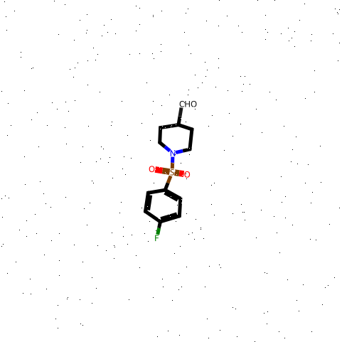 O=CC1CCN(S(=O)(=O)c2ccc(F)cc2)CC1